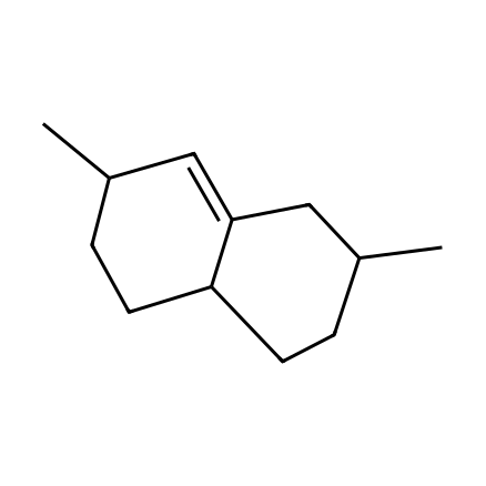 CC1C=C2CC(C)CCC2CC1